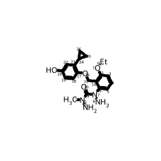 CCOc1cccc(N(N)C(=O)N(C)N)c1COc1ccc(O)cc1C1CC1